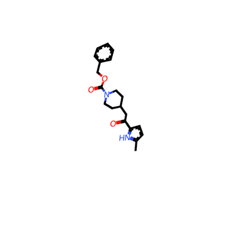 Cc1ccc(C(=O)CC2CCN(C(=O)OCc3ccccc3)CC2)[nH]1